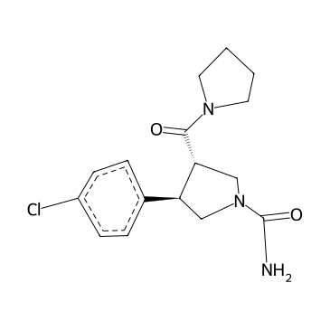 NC(=O)N1C[C@@H](C(=O)N2CCCC2)[C@H](c2ccc(Cl)cc2)C1